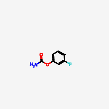 NC(=O)Oc1cc[c]c(F)c1